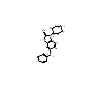 O=c1[nH]c2cc(Oc3ccccc3)ccc2n1C1CCNCC1